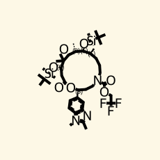 Cc1nc2cc([C@@H]3CCN(C(=O)OCC(F)(F)F)CCC[C@H](C)[C@H](O[Si](C)(C)C(C)(C)C)[C@@H](C)C(=O)C(C)(C)[C@@H](O[Si](C)(C)C(C)(C)C)CC(=O)O3)ccc2n1C